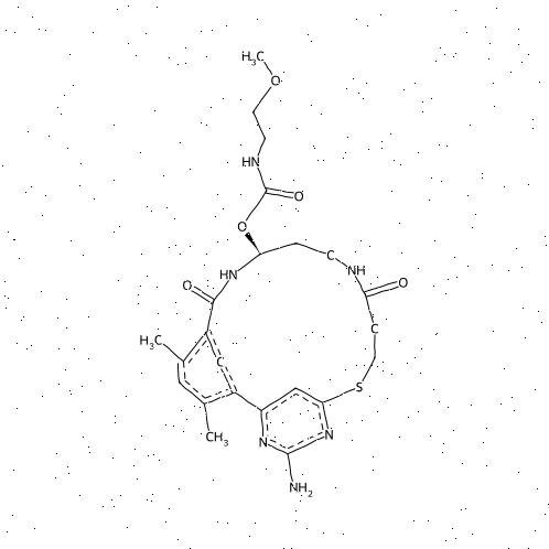 COCCNC(=O)O[C@H]1CCNC(=O)CCSc2cc(nc(N)n2)-c2cc(c(C)cc2C)C(=O)N1